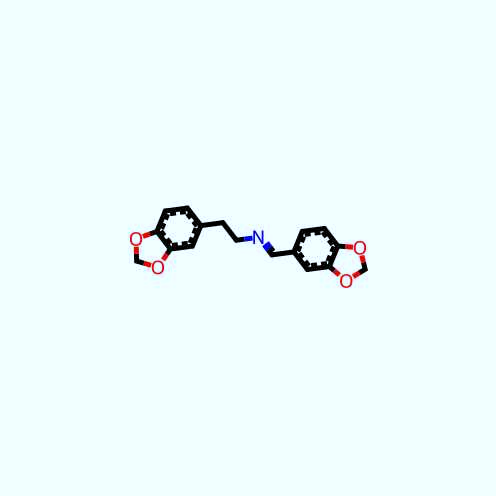 C(=N\CCc1ccc2c(c1)OCO2)/c1ccc2c(c1)OCO2